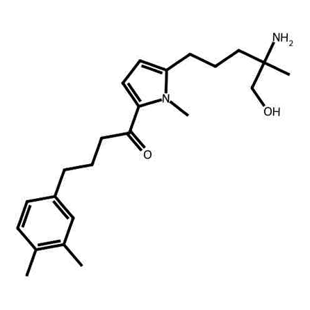 Cc1ccc(CCCC(=O)c2ccc(CCCC(C)(N)CO)n2C)cc1C